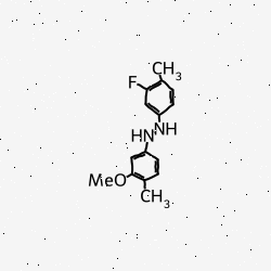 COc1cc(NNc2ccc(C)c(F)c2)ccc1C